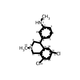 CNc1cccc(C2CN(C)Cc3c(Cl)cc(Cl)cc32)c1